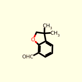 CC1(C)COc2c(C=O)cccc21